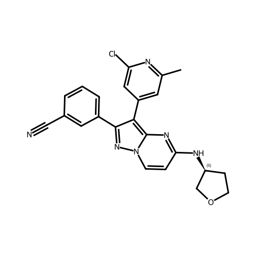 Cc1cc(-c2c(-c3cccc(C#N)c3)nn3ccc(N[C@H]4CCOC4)nc23)cc(Cl)n1